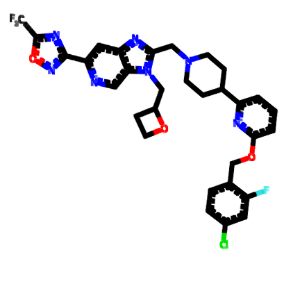 Fc1cc(Cl)ccc1COc1cccc(C2CCN(Cc3nc4cc(-c5noc(C(F)(F)F)n5)ncc4n3CC3CCO3)CC2)n1